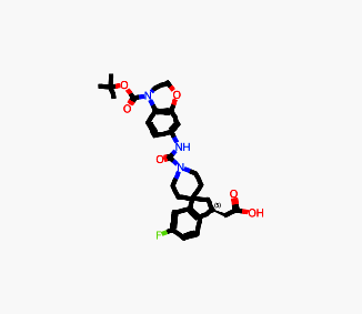 CC(C)(C)OC(=O)N1CCOc2cc(NC(=O)N3CCC4(CC3)C[C@@H](CC(=O)O)c3ccc(F)cc34)ccc21